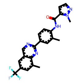 Cc1cc(-c2ncc3cc(C(F)(F)F)cc(C)c3n2)ccc1NC(=O)c1ccnn1C